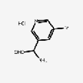 Cl.NC(C=O)c1cncc(Br)c1